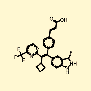 O=C(O)/C=C/c1ccc(/C(=C(\c2nccc(C(F)(F)F)n2)C2CCC2)c2ccc3c(c2)C(F)NN3)cc1